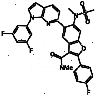 CNC(=O)c1c(-c2ccc(F)cc2)oc2cc(N(C)S(C)(=O)=O)c(-c3ccc4ccn(-c5cc(F)cc(F)c5)c4n3)cc12